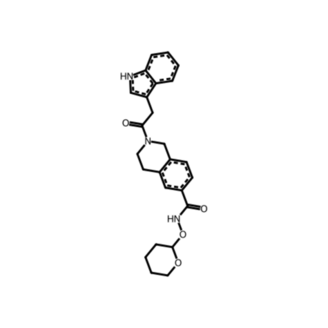 O=C(NOC1CCCCO1)c1ccc2c(c1)CCN(C(=O)Cc1c[nH]c3ccccc13)C2